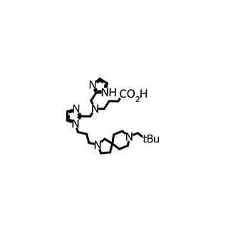 CC(C)(C)CN1CCC2(CC1)CCN(CCCn1ccnc1CN(CCCC(=O)O)Cc1ncc[nH]1)C2